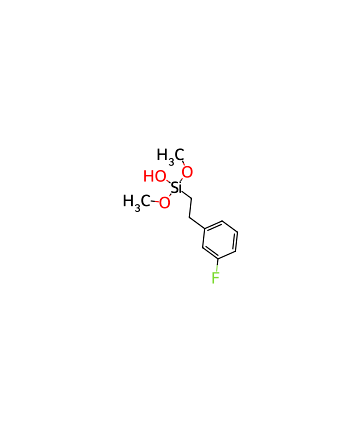 CO[Si](O)(CCc1cccc(F)c1)OC